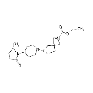 CCOC(=O)N1CC2(CCC(N3CCC(N4C(=O)CC[C@@H]4C)CC3)C2)C1